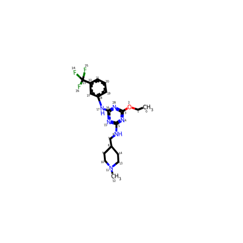 CCOc1nc(NCC2CCN(C)CC2)nc(Nc2cccc(C(F)(F)F)c2)n1